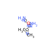 Cc1cc(-c2cnc(N)c(OCc3ccc(N)nc3)n2)cc2c1CCN(C)C2